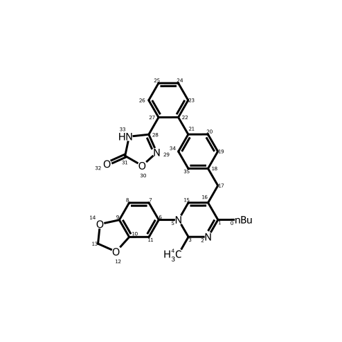 CCCCC1=NC(C)N(c2ccc3c(c2)OCO3)C=C1Cc1ccc(-c2ccccc2-c2noc(=O)[nH]2)cc1